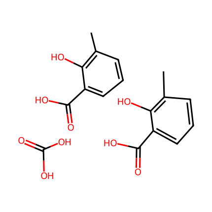 Cc1cccc(C(=O)O)c1O.Cc1cccc(C(=O)O)c1O.O=C(O)O